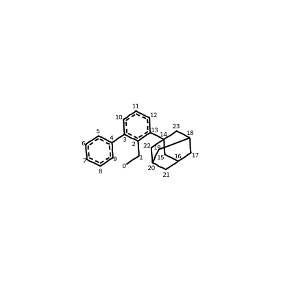 CCc1c(-c2ccccc2)cccc1C12CC3CC(CC(C3)C1)C2